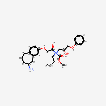 CSCC[N+](C[C@H](O)COc1ccccc1)(C(=O)COc1ccc2c(c1)CC(N)CCC2)C(=O)OC(C)(C)C